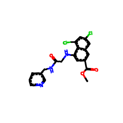 COC(=O)c1cc(NCC(=O)NCc2cccnc2)c2c(Cl)cc(Cl)cc2c1